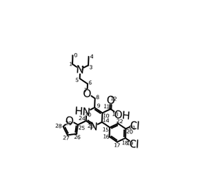 CCN(CC)CCOCC1=C(C(=O)O)C(c2ccc(Cl)c(Cl)c2)N=C(c2ccco2)N1